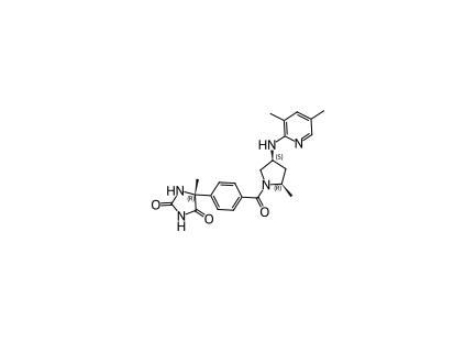 Cc1cnc(N[C@H]2C[C@@H](C)N(C(=O)c3ccc([C@@]4(C)NC(=O)NC4=O)cc3)C2)c(C)c1